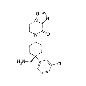 NC[C@]1(c2cccc(Cl)c2)CC[C@@H](N2CCn3ncnc3C2=O)CC1